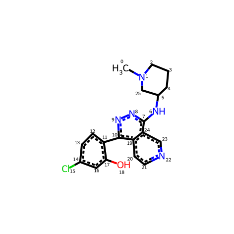 CN1CCCC(Nc2nnc(-c3ccc(Cl)cc3O)c3ccncc23)C1